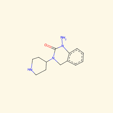 NN1C(=O)N(C2CCNCC2)Cc2ccccc21